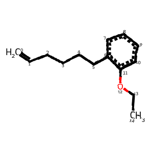 C=CCCCCc1ccccc1OCC